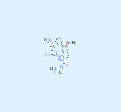 CCN(CC)C(=O)c1nn(-c2cc(Cl)cc(Cl)c2)c2c1CCc1cc(OC)c(-c3cncc(C(N)=O)c3)cc1-2